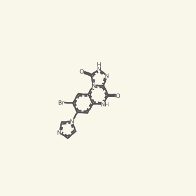 O=c1[nH]c2cc(-n3ccnc3)c(Br)cc2n2c(=O)[nH]nc12